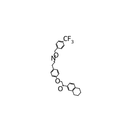 O=C(COc1ccc(CC=NOCc2ccc(C(F)(F)F)cc2)cc1)c1ccc2c(c1)CCCC2